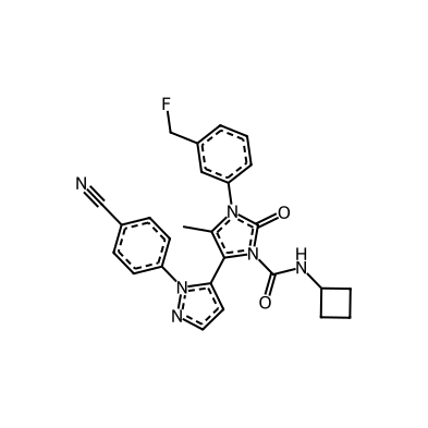 Cc1c(-c2ccnn2-c2ccc(C#N)cc2)n(C(=O)NC2CCC2)c(=O)n1-c1cccc(CF)c1